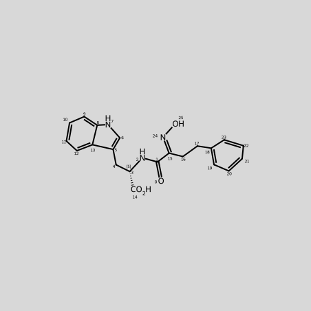 O=C(N[C@@H](Cc1c[nH]c2ccccc12)C(=O)O)C(CCc1ccccc1)=NO